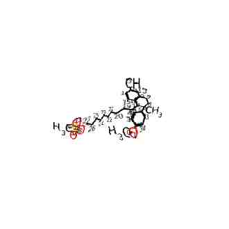 COc1ccc(C2(C)CCc3cc(C)ccc3C2CCCCCCCCCCOS(C)(=O)=O)cc1